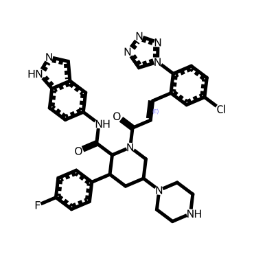 O=C(Nc1ccc2[nH]ncc2c1)C1C(c2ccc(F)cc2)CC(N2CCNCC2)CN1C(=O)/C=C/c1cc(Cl)ccc1-n1cnnn1